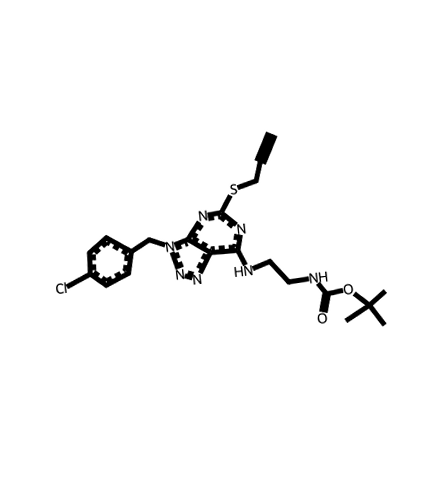 C#CCSc1nc(NCCNC(=O)OC(C)(C)C)c2nnn(Cc3ccc(Cl)cc3)c2n1